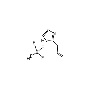 C=CCc1ncc[nH]1.F[B-](F)(F)F.[H+]